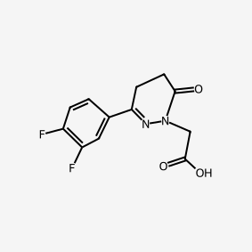 O=C(O)CN1N=C(c2ccc(F)c(F)c2)CCC1=O